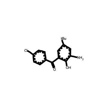 CC(C)(C)c1cc(N)c(O)c(C(=O)c2ccc(Cl)cc2)c1